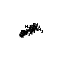 Cc1nc(N)c2nc(C)n(CCCCCS(=O)(=O)c3ccccc3)c2c1C